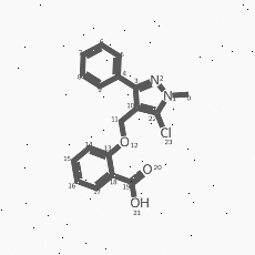 Cn1nc(-c2ccccc2)c(COc2ccccc2C(=O)O)c1Cl